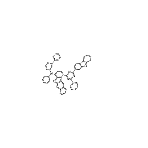 c1ccc(-c2cccc(N(c3ccccc3)c3ccc(-c4nc(-c5ccccc5)nc(-c5ccc6c(c5)oc5ccccc56)n4)c4c3oc3cc5ccccc5cc34)c2)cc1